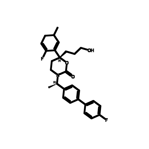 CC1C=C([C@@]2(CCCO)CCN([C@@H](C)c3ccc(-c4ccc(F)cc4)cc3)C(=O)O2)C(F)=CC1